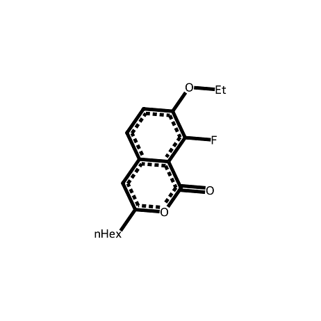 CCCCCCc1cc2ccc(OCC)c(F)c2c(=O)o1